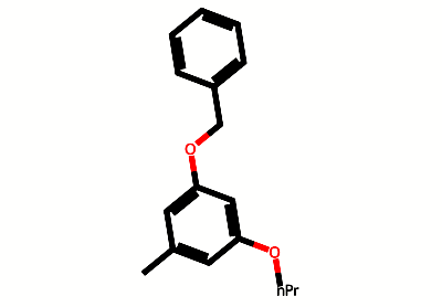 CCCOc1cc(C)cc(OCc2ccccc2)c1